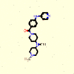 CN1CCC(N(C)C2CCN(C(=O)c3ccc(Nc4ccncc4)cc3)CC2)CC1